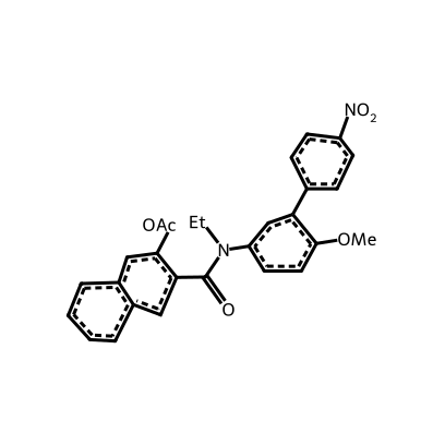 CCN(C(=O)c1cc2ccccc2cc1OC(C)=O)c1ccc(OC)c(-c2ccc([N+](=O)[O-])cc2)c1